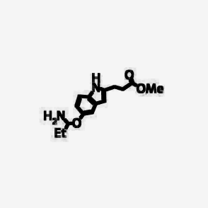 CCC(N)Oc1ccc2[nH]c(CCC(=O)OC)cc2c1